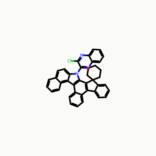 Clc1nc2ccccc2nc1-n1c2ccc3ccccc3c2c2c3ccccc3c3c(c21)C1(CCCCC1)c1ccccc1-3